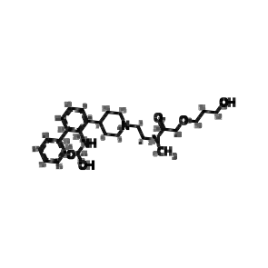 CN(CCN1CCC(c2cccc(-c3ccccc3)c2NC(=O)O)CC1)C(=O)COCCCO